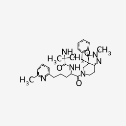 Cc1cccc(CCCC(NC(=O)C(C)(C)N)C(=O)N2CCC3=NN(C)C(=O)C3(Cc3ccccc3)C2)n1